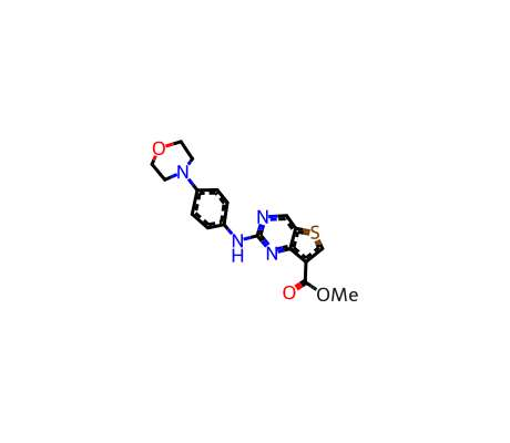 COC(=O)c1csc2cnc(Nc3ccc(N4CCOCC4)cc3)nc12